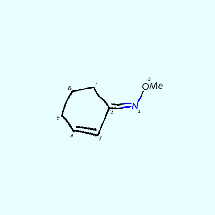 CO/N=C1/C=CCCC1